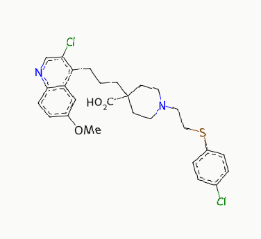 COc1ccc2ncc(Cl)c(CCCC3(C(=O)O)CCN(CCSc4ccc(Cl)cc4)CC3)c2c1